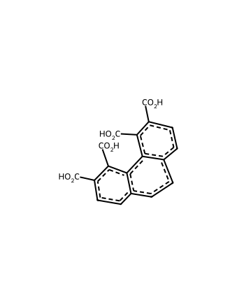 O=C(O)c1ccc2ccc3ccc(C(=O)O)c(C(=O)O)c3c2c1C(=O)O